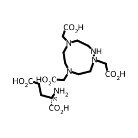 N[C@@H](CCC(=O)O)C(=O)O.O=C(O)CN1CCNN(CC(=O)O)CCN(CC(=O)O)CC1